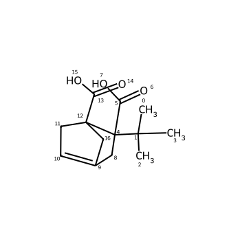 CC(C)(C)C1(C(=O)O)CC2=CCC1(C(=O)O)C2